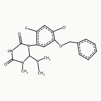 CN(C)C1N(C)C(=O)NC(=O)N1c1cc(OCc2ccccc2)c(Cl)cc1F